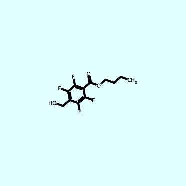 CCCCOC(=O)c1c(F)c(F)c(CO)c(F)c1F